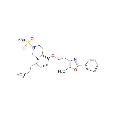 CCCCS(=O)(=O)N1CCc2c(OCCc3nc(-c4ccccc4)oc3C)ccc(CCC(=O)O)c2C1